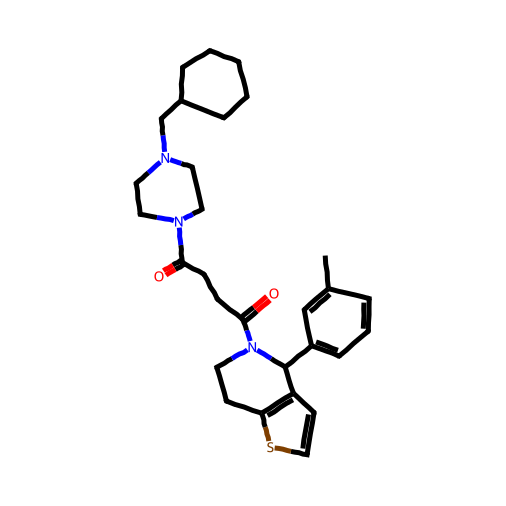 Cc1cccc(C2c3ccsc3CCN2C(=O)CCC(=O)N2CCN(CC3CCCCC3)CC2)c1